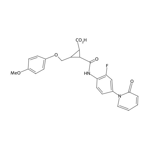 COc1ccc(OCC2C(C(=O)O)C2C(=O)Nc2ccc(-n3ccccc3=O)cc2F)cc1